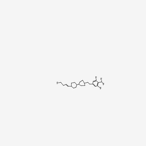 FCCC=CC1CCC(C2CCC(CCc3cc(F)c(C(F)F)c(F)c3)CC2)CC1